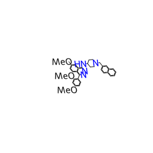 COc1ccc(-c2nnc(NC3CCN(Cc4ccc5ccccc5c4)CC3)c3cc(OC)cc(OC)c23)cc1